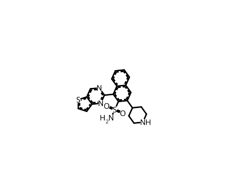 NS(=O)(=O)c1c(C2CCNCC2)cc2ccccc2c1-c1ncc2sccc2n1